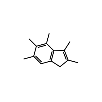 CC1=C(C)c2c(cc(C)c(C)c2C)[CH]1